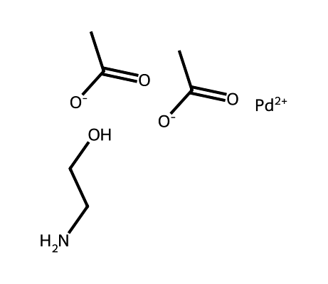 CC(=O)[O-].CC(=O)[O-].NCCO.[Pd+2]